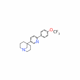 FC(F)(F)Oc1ccc(-c2ccc(C34CCCN(CCC3)C4)cn2)cc1